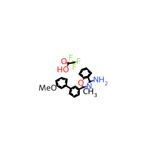 COc1cccc(-c2cccc(C3(C)N=C(N)c4ccccc4O3)c2)c1.O=C(O)C(F)(F)F